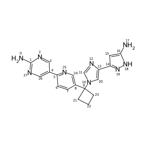 Nc1ncc(-c2ccc(C3(n4cnc(-c5cc(N)[nH]n5)c4)CCC3)cn2)cn1